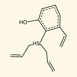 C=CC[SiH](CC=C)c1c(O)cccc1C=C